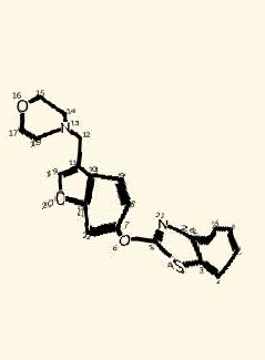 c1ccc2sc(Oc3ccc4c(CN5CCOCC5)coc4c3)nc2c1